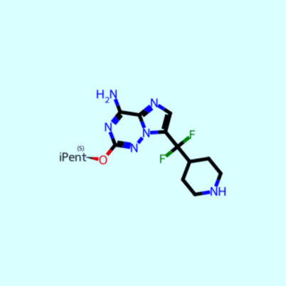 CCC[C@H](C)Oc1nc(N)c2ncc(C(F)(F)C3CCNCC3)n2n1